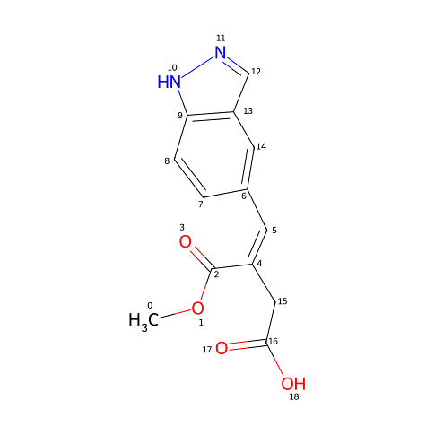 COC(=O)C(=Cc1ccc2[nH]ncc2c1)CC(=O)O